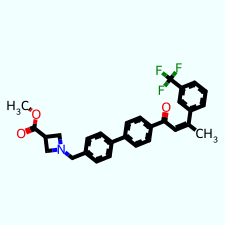 COC(=O)C1CN(Cc2ccc(-c3ccc(C(=O)C=C(C)c4cccc(C(F)(F)F)c4)cc3)cc2)C1